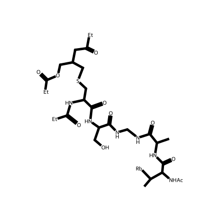 CCC(=O)CC(COC(=O)CC)CSCC(NC(=O)CC)C(=O)NC(CO)C(=O)NCNC(=O)C(C)NC(=O)C(NC(C)=O)[CH](C)[Rb]